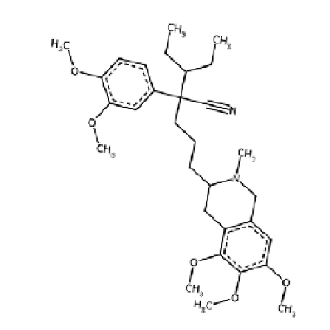 CCC(CC)C(C#N)(CCCC1Cc2c(cc(OC)c(OC)c2OC)CN1C)c1ccc(OC)c(OC)c1